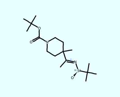 C/C(=N\[S@+]([O-])C(C)(C)C)C1(C)CCN(C(=O)OC(C)(C)C)CC1